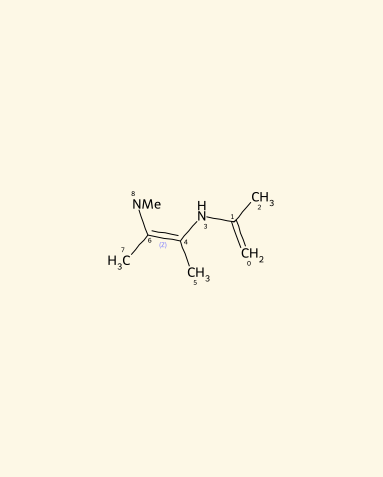 C=C(C)N/C(C)=C(/C)NC